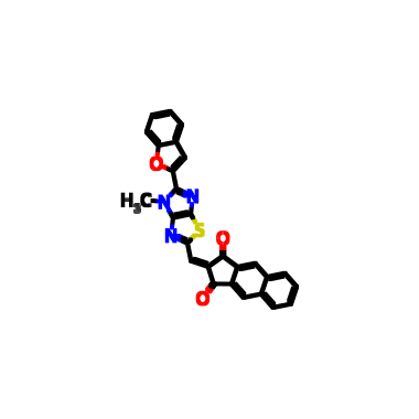 Cn1c(-c2cc3ccccc3o2)nc2sc(C=C3C(=O)c4cc5ccccc5cc4C3=O)nc21